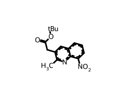 Cc1nc2c([N+](=O)[O-])cccc2cc1CC(=O)OC(C)(C)C